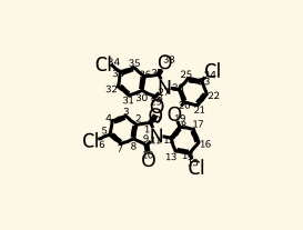 O=C1c2ccc(Cl)cc2C(=O)N1c1cc(Cl)ccc1Oc1ccc(Cl)cc1N1C(=O)c2ccc(Cl)cc2C1=O